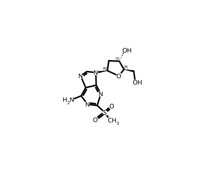 CS(=O)(=O)c1nc(N)c2ncn([C@H]3C[C@H](O)[C@@H](CO)O3)c2n1